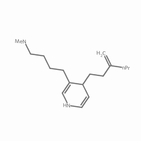 C=C(CCC)CCC1C=CNC=C1CCCCNC